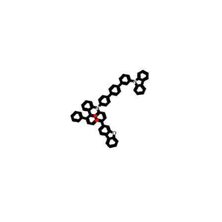 c1ccc(-c2ccccc2-c2ccccc2N(c2ccc(-c3ccc(-c4cccc(-n5c6ccccc6c6ccccc65)c4)cc3)cc2)c2ccc(-c3ccc4c(c3)oc3ccccc34)cc2)cc1